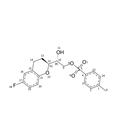 Cc1ccc(S(=O)(=O)OC[C@@H](O)[C@@H]2CCc3cc(F)ccc3O2)cc1